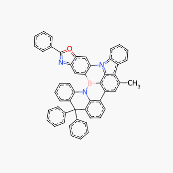 Cc1cc2c3c4c1c1ccccc1n4-c1cc4oc(-c5ccccc5)nc4cc1B3N1c3ccccc3C(c3ccccc3)(c3ccccc3)c3cccc-2c31